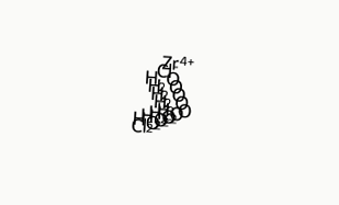 O.O.O.O.O.O.O.O.[Cl-].[Cl-].[O-2].[Zr+4]